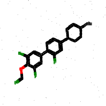 CCCCC1CCC(c2ccc(-c3cc(F)c(OCF)c(F)c3)c(F)c2)CC1